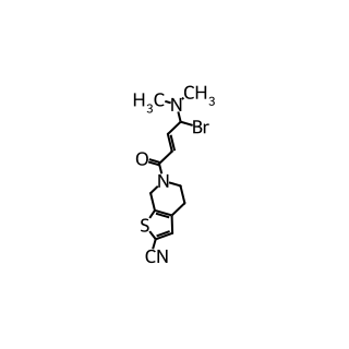 CN(C)C(Br)/C=C/C(=O)N1CCc2cc(C#N)sc2C1